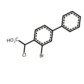 O=C(O)C(Cl)c1ccc(-c2ccccc2)cc1Br